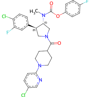 CN(C(=O)Oc1ccc(F)cc1)[C@@H]1CN(C(=O)C2CCN(c3ccc(Cl)cn3)CC2)C[C@H]1c1ccc(Cl)c(F)c1